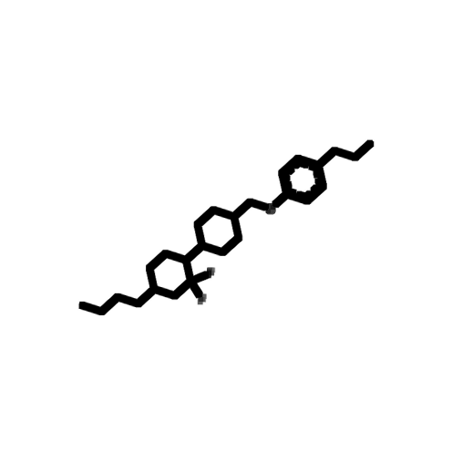 CCCCC1CCC(C2CCC(COc3ccc(CCC)cc3)CC2)C(F)(F)C1